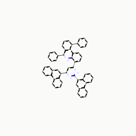 c1ccc(-c2nc3c(-c4cc(-c5cc6ccccc6c6ccccc56)nc(-c5cc6ccccc6c6ccccc56)n4)cccc3c3c(-c4ccccc4)cccc23)cc1